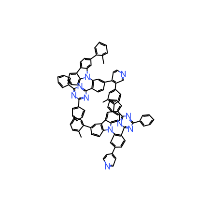 Cc1ccccc1-c1ccc2c(c1)c1cc(-c3ccc(-c4cnccc4-c4ccc(-c5nc(-c6ccccc6)nc(-c6ccccc6)n5)c(-n5c6ccccc6c6ccc(-c7ccccc7C)cc65)c4)cc3C)ccc1n2-c1cc(-c2ccncc2)ccc1-c1nc(-c2ccccc2)nc(-c2ccccc2)n1